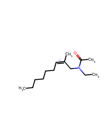 CCCCCC/C=C(/C)CN(CC)C(C)=O